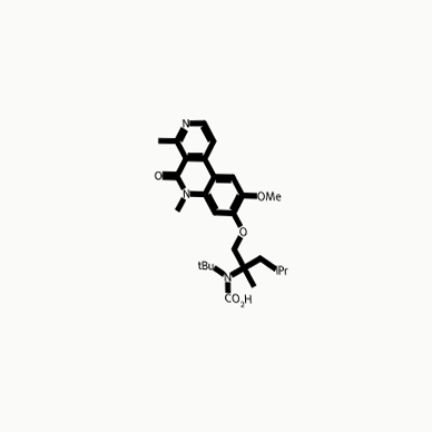 COc1cc2c3ccnc(C)c3c(=O)n(C)c2cc1OCC(C)(CC(C)C)N(C(=O)O)C(C)(C)C